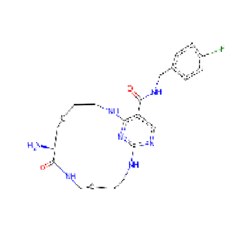 N[C@H]1CCCCNc2nc(ncc2C(=O)NCc2ccc(F)cc2)NCCCCNC1=O